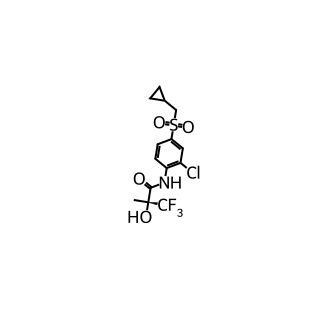 C[C@@](O)(C(=O)Nc1ccc(S(=O)(=O)CC2CC2)cc1Cl)C(F)(F)F